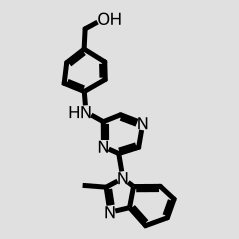 Cc1nc2ccccc2n1-c1cncc(Nc2ccc(CO)cc2)n1